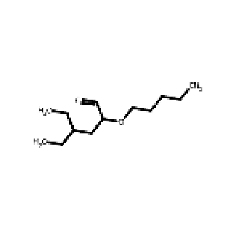 CCCCCOC(C=O)CC(CC)CC